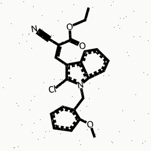 CCOC(=O)/C(C#N)=C\c1c(Cl)n(Cc2ccccc2OC)c2ccccc12